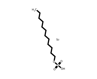 CCCCCCCCCCCCOS(=O)(=O)O.[Sc]